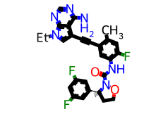 CCn1cc(C#Cc2cc(NC(=O)N3OCC[C@@H]3c3cc(F)cc(F)c3)c(F)cc2C)c2c(N)ncnc21